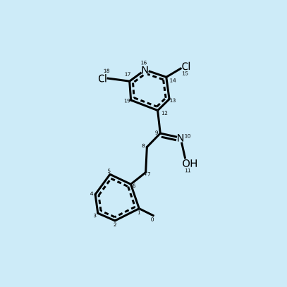 Cc1ccccc1[CH]CC(=NO)c1cc(Cl)nc(Cl)c1